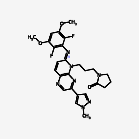 COc1cc(OC)c(F)c(/N=c2\ccc3ncc(-c4cnn(C)c4)nc3n2CCCN2CCCC2=O)c1F